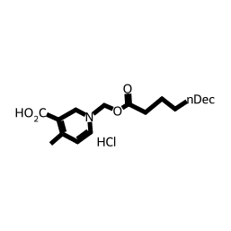 CCCCCCCCCCCCCC(=O)OCN1C=CC(C)=C(C(=O)O)C1.Cl